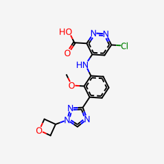 COc1c(Nc2cc(Cl)nnc2C(=O)O)cccc1-c1ncn(C2COC2)n1